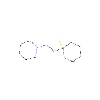 FC1(CCN2CCCCC2)CCCCC1